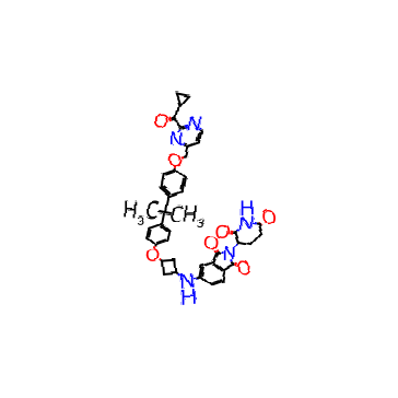 CC(C)(c1ccc(OCc2ccnc(C(=O)C3CC3)n2)cc1)c1ccc(OC2CC(Nc3ccc4c(c3)C(=O)N(C3CCC(=O)NC3=O)C4=O)C2)cc1